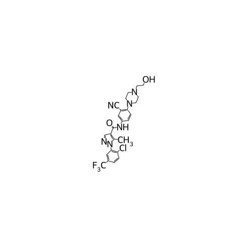 Cc1c(C(=O)Nc2ccc(N3CCN(CCO)CC3)c(C#N)c2)cnn1-c1cc(C(F)(F)F)ccc1Cl